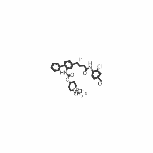 C[N+]1(C)CCC(OC(=O)Nc2cc(CCCC(=O)Nc3ccc(C=O)cc3Cl)ccc2-c2ccccc2)CC1.[I-]